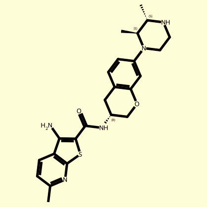 Cc1ccc2c(N)c(C(=O)N[C@H]3COc4cc(N5CCN[C@@H](C)[C@@H]5C)ccc4C3)sc2n1